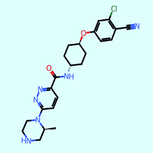 C[C@H]1CNCCN1c1ccc(C(=O)N[C@H]2CC[C@H](Oc3ccc(C#N)c(Cl)c3)CC2)nn1